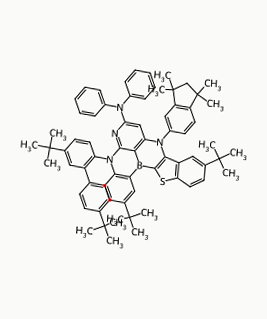 CC(C)(C)c1ccc(-c2cc(C(C)(C)C)ccc2N2c3ccc(C(C)(C)C)cc3B3c4sc5ccc(C(C)(C)C)cc5c4N(c4ccc5c(c4)C(C)(C)CC5(C)C)c4cc(N(c5ccccc5)c5ccccc5)nc2c43)cc1